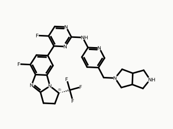 Fc1cnc(Nc2ccc(CN3CC4CNCC4C3)cn2)nc1-c1cc(F)c2nc3n(c2c1)[C@H](C(F)(F)F)CC3